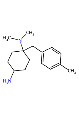 Cc1ccc(CC2(N(C)C)CCC(N)CC2)cc1